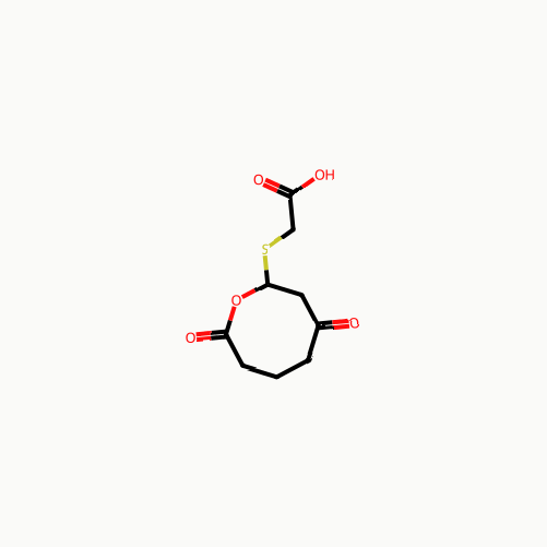 O=C(O)CSC1CC(=O)CCCC(=O)O1